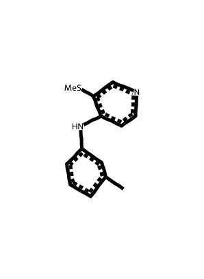 CSc1cnccc1Nc1cccc(C)c1